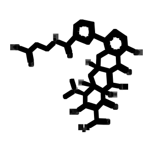 CN(C)[C@@H]1C(O)=C(C(N)=O)C(=O)[C@@]2(O)C(O)=C3C(=O)c4c(O)ccc(-c5cccc(C(=O)NCCC(=O)O)c5)c4C[C@H]3C[C@@H]12